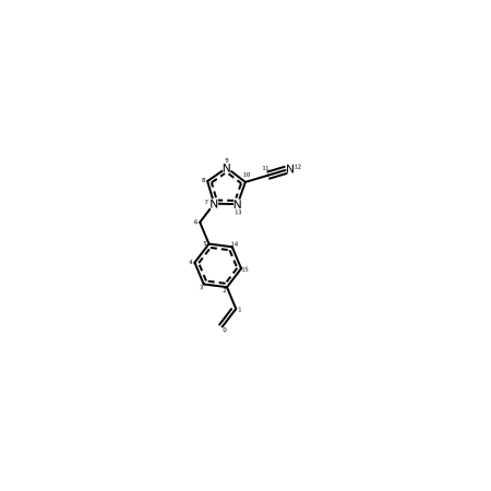 C=Cc1ccc(Cn2cnc(C#N)n2)cc1